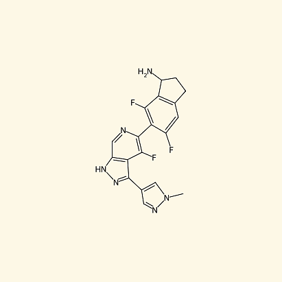 Cn1cc(-c2n[nH]c3cnc(-c4c(F)cc5c(c4F)C(N)CC5)c(F)c23)cn1